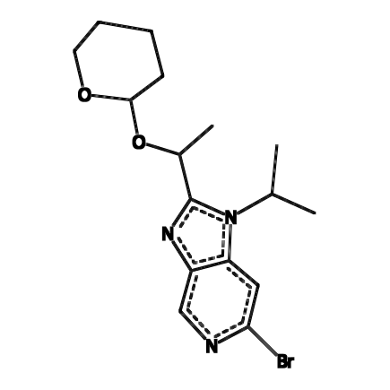 CC(OC1CCCCO1)c1nc2cnc(Br)cc2n1C(C)C